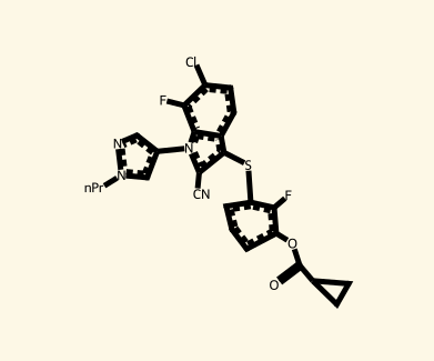 CCCn1cc(-n2c(C#N)c(Sc3cccc(OC(=O)C4CC4)c3F)c3ccc(Cl)c(F)c32)cn1